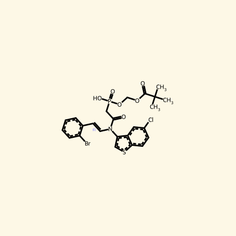 CC(C)(C)C(=O)OCOP(=O)(O)CC(=O)N(/C=C/c1ccccc1Br)c1csc2ccc(Cl)cc12